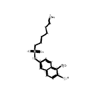 CCCCCCCCCCCCCCCCS(=O)(=O)Nc1ccc2c(C=O)c(C(=O)O)ccc2c1